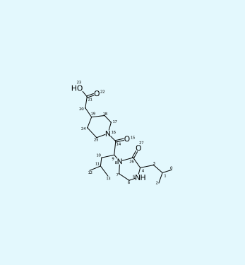 CC(C)CC1NCCN(C(CC(C)C)C(=O)N2CCC(CC(=O)O)CC2)C1=O